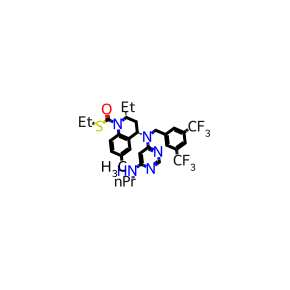 CCCNc1cc(N(Cc2cc(C(F)(F)F)cc(C(F)(F)F)c2)[C@H]2C[C@@H](CC)N(C(=O)SCC)c3ccc(C)cc32)ncn1